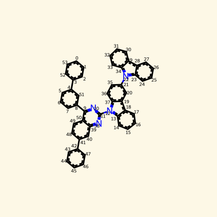 c1ccc(-c2cccc(-c3nc(-n4c5ccccc5c5cc(-n6c7ccccc7c7ccccc76)ccc54)nc4cc(-c5ccccc5)ccc34)c2)cc1